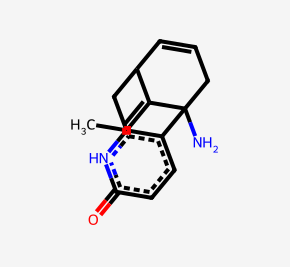 C/C=C1\C2C=CCC1(N)c1ccc(=O)[nH]c1C2